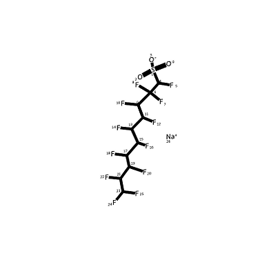 O=S(=O)([O-])C(F)C(F)(F)C(F)C(F)C(F)C(F)C(F)C(F)C(F)C(F)F.[Na+]